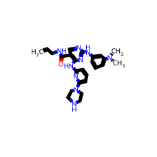 C=CCNC(=O)c1cnc(Nc2cccc(N(C)C)c2)nc1Nc1cccc(N2CCNCC2)n1